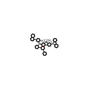 CC1(C)c2cc(N(c3cccc(-c4cccc5ccccc45)c3)c3ccccc3-c3cccc(-c4ccccc4)c3)ccc2-c2ccc(-n3c4ccccc4c4ccccc43)cc21